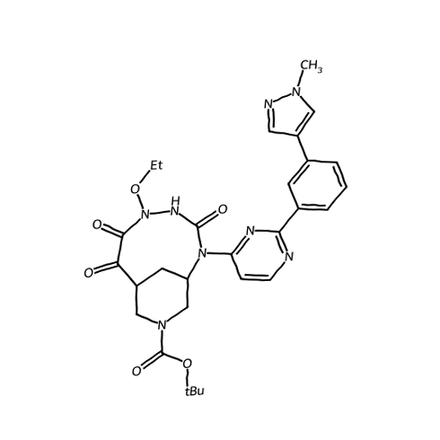 CCON1NC(=O)N(c2ccnc(-c3cccc(-c4cnn(C)c4)c3)n2)C2CC(CN(C(=O)OC(C)(C)C)C2)C(=O)C1=O